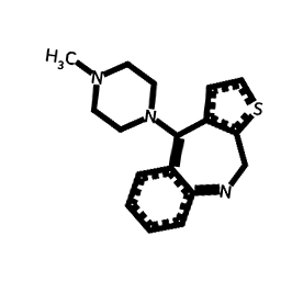 CN1CCN(C2=c3ccccc3=NCc3sccc32)CC1